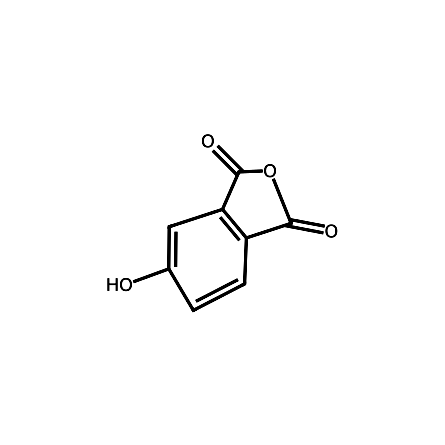 O=C1OC(=O)c2cc(O)ccc21